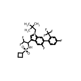 CC(C)(C)Cn1cc(C(NS(=O)(=O)C2CCC2)C(F)F)c2cc(F)c(-c3ccc(F)cc3C(F)(F)F)cc21